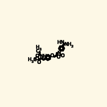 CCC(=O)NC(Cc1ccc(OCC2CN(c3ccc(C(=N)N)cc3)C(=O)O2)cc1)C(=O)OC